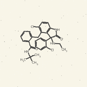 CCNC1(c2ccccc2Cl)C(=O)Nc2ccc(Cl)c(Cc3ccccc3C(=O)NC(C)(C)C)c21